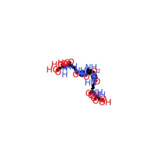 Nc1cc(C(=O)N2CCN(C(=O)NCCCC[C@H](NC(=O)N[C@@H](CCC(=O)O)C(=O)O)C(=O)O)CC2)cc(C(=O)N2CCN(C(=O)NCCCC[C@@H](NC(=O)N[C@H](CCC(=O)O)C(=O)O)C(=O)O)CC2)c1